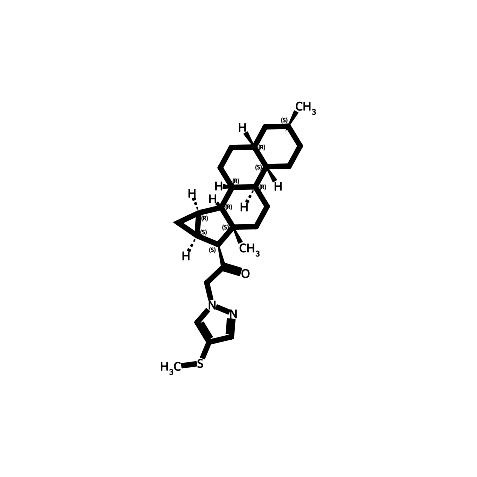 CSc1cnn(CC(=O)[C@H]2[C@H]3C[C@H]3[C@H]3[C@@H]4CC[C@@H]5C[C@@H](C)CC[C@@H]5[C@H]4CC[C@@]32C)c1